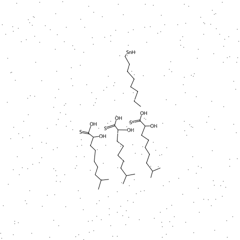 CC(C)CCCCCC(O)C(O)=S.CC(C)CCCCCC(O)C(O)=S.CC(C)CCCCCC(O)C(O)=S.CCCCCCC[CH2][SnH]